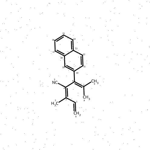 C=C/C(C)=C(/C#N)C(=C(C)C)c1ccc2ccccc2c1